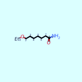 [CH2]COCCCCCCC(N)=O